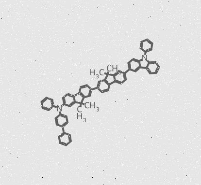 CC1(C)c2cc(-c3ccc4c(c3)C(C)(C)c3cc(N(c5ccccc5)c5ccc(-c6ccccc6)cc5)ccc3-4)ccc2-c2ccc(-c3ccc4c(c3)c3ccccc3n4-c3ccccc3)cc21